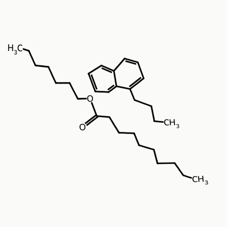 CCCCCCCCCC(=O)OCCCCCCC.CCCCc1cccc2ccccc12